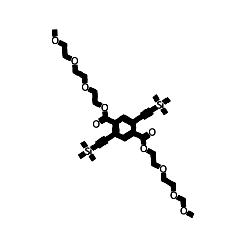 COCCOCCOCCOC(=O)c1cc(C#C[Si](C)(C)C)c(C(=O)OCCOCCOCOC)cc1C#C[Si](C)(C)C